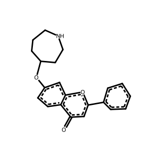 O=c1cc(-c2ccccc2)oc2cc(OC3CCCNCC3)ccc12